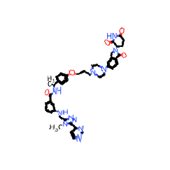 C[C@H](NC(=O)c1cccc(NCc2nnc(-c3ccncn3)n2C)c1)c1ccc(OCCCN2CCN(c3ccc4c(c3)CN(C3CCC(=O)NC3=O)C4=O)CC2)cc1